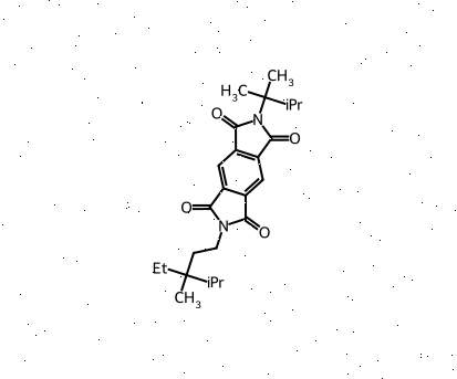 CCC(C)(CCn1c(=O)c2cc3c(=O)n(C(C)(C)C(C)C)c(=O)c3cc2c1=O)C(C)C